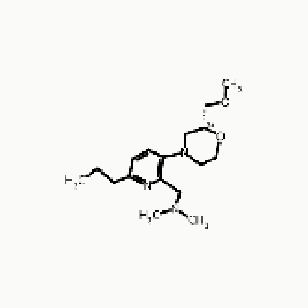 CCCc1ccc(N2CCO[C@@H](COC)C2)c(CN(C)C)n1